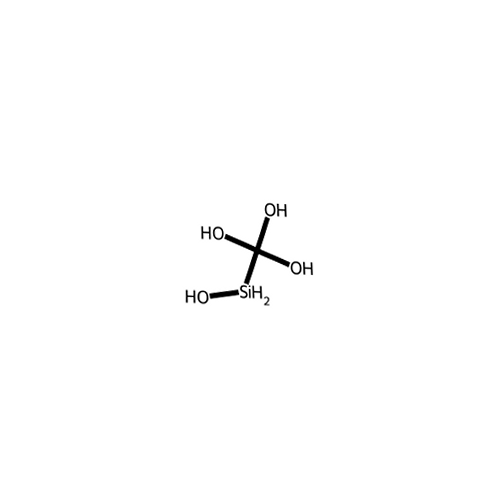 O[SiH2]C(O)(O)O